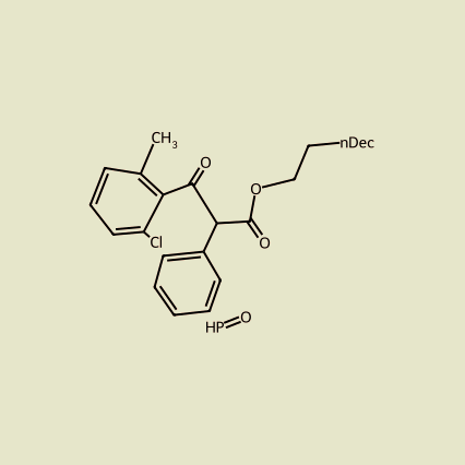 CCCCCCCCCCCCOC(=O)C(C(=O)c1c(C)cccc1Cl)c1ccccc1.O=P